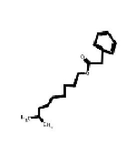 CC(C)CCCCCCCOC(=O)Cc1ccccc1